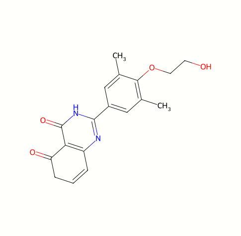 Cc1cc(-c2nc3c(c(=O)[nH]2)C(=O)CC=C3)cc(C)c1OCCO